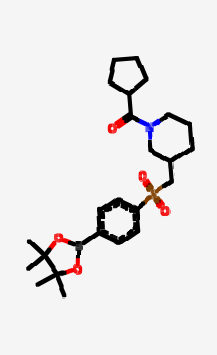 CC1(C)OB(c2ccc(S(=O)(=O)CC3CCCN(C(=O)C4CCCC4)C3)cc2)OC1(C)C